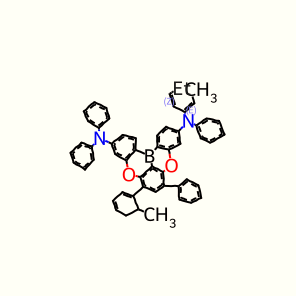 C/C=C(\C=C/CC)N(c1ccccc1)c1ccc2c(c1)Oc1c(-c3ccccc3)cc(C3=CC=CCC3C)c3c1B2c1ccc(N(c2ccccc2)c2ccccc2)cc1O3